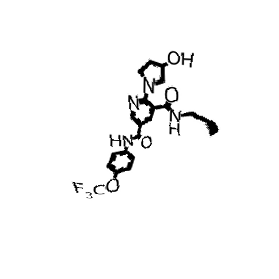 C#CCNC(=O)c1cc(C(=O)Nc2ccc(OC(F)(F)F)cc2)cnc1N1CCC(O)C1